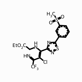 CCOC(=O)CN/C(=C(/Cl)C(=N)C(F)(F)F)c1nsc(-c2cccc(S(C)(=O)=O)c2)n1